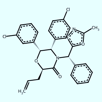 C=CC[C@H]1O[C@H](c2cccc(Cl)c2)[C@H](c2ccc(Cl)cc2)N([C@@H](c2ccccc2)c2nnc(C)o2)C1=O